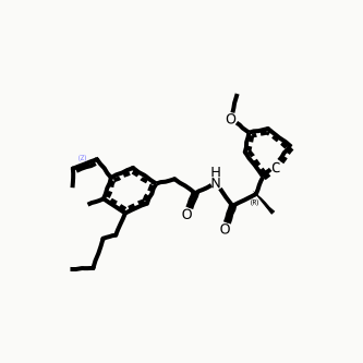 C/C=C\c1cc(CC(=O)NC(=O)[C@H](C)c2cccc(OC)c2)cc(CCCC)c1C